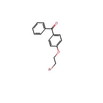 O=C(c1ccccc1)c1ccc(OCCBr)cc1